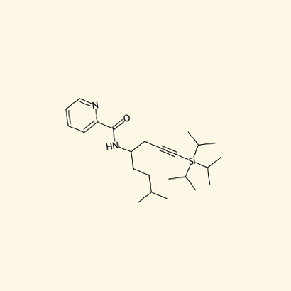 CC(C)CCC(CC#C[Si](C(C)C)(C(C)C)C(C)C)NC(=O)c1ccccn1